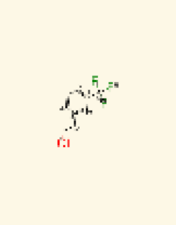 OC[CH]c1cccc(C(F)(F)F)c1